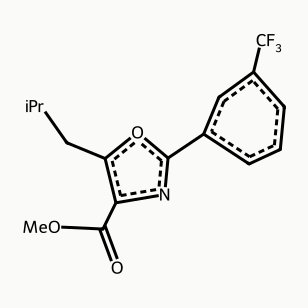 COC(=O)c1nc(-c2cccc(C(F)(F)F)c2)oc1CC(C)C